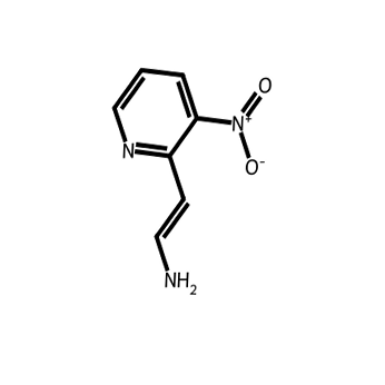 N/C=C/c1ncccc1[N+](=O)[O-]